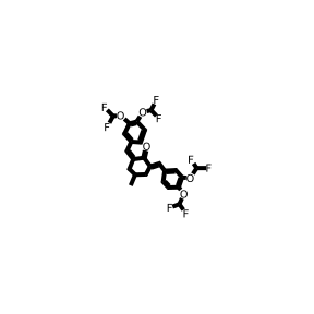 CC1CC(=Cc2ccc(OC(F)F)c(OC(F)F)c2)C(=O)C(=Cc2ccc(OC(F)F)c(OC(F)F)c2)C1